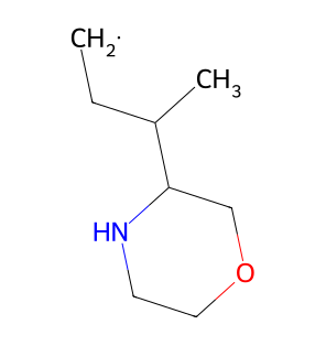 [CH2]CC(C)C1COCCN1